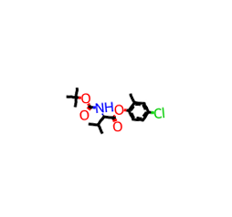 Cc1cc(Cl)ccc1OC(=O)[C@@H](NC(=O)OC(C)(C)C)C(C)C